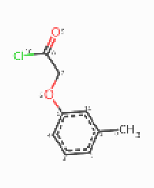 Cc1cccc(OCC(=O)Cl)c1